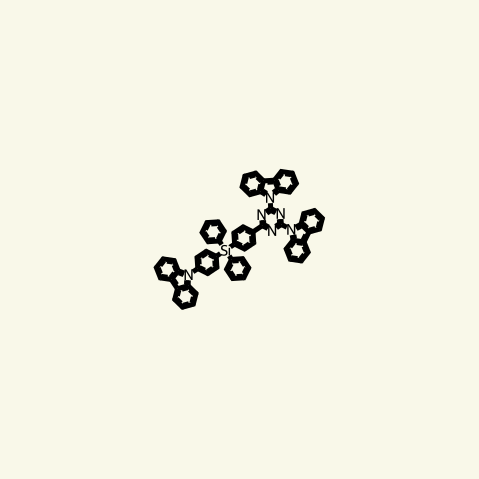 c1ccc([Si](c2ccccc2)(c2ccc(-c3nc(-n4c5ccccc5c5ccccc54)nc(-n4c5ccccc5c5ccccc54)n3)cc2)c2ccc(-n3c4ccccc4c4ccccc43)cc2)cc1